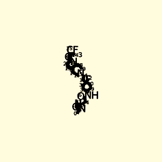 Cc1nc(CC(=O)NC2CCC(F)(CCN3CCc4ccc(OC(C)C(F)(F)F)nc4CC3)CC2)no1